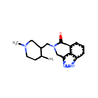 CC1CCN(C)CC1CN1Cc2n[nH]c3cccc(c23)C1=O